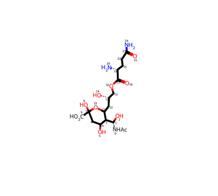 CC(=O)N[C@@H](O)C1C(O)CC(O)(C(=O)O)OC1C[C@H](O)COC(=O)[C@H](N)CCC(N)=O